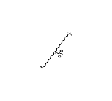 CCCCCCCCCCCCCCCCC[CH2][Na].OP(O)(O)=S